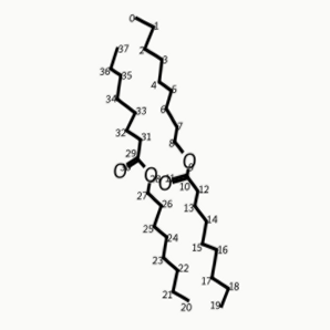 CCCCCCCCCOC(=O)CCCCCCCC.CCCCCCCCOC(=O)CCCCCCC